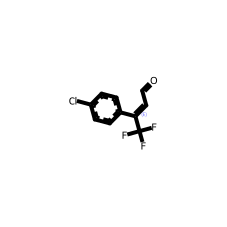 O=C/C=C(\c1ccc(Cl)cc1)C(F)(F)F